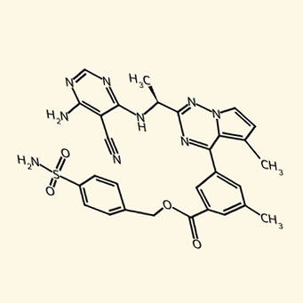 Cc1cc(C(=O)OCc2ccc(S(N)(=O)=O)cc2)cc(-c2nc([C@H](C)Nc3ncnc(N)c3C#N)nn3ccc(C)c23)c1